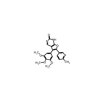 COc1cc(-c2c(-c3ccc(C)nc3)oc3[nH]c(=O)ncc23)cc(OC)c1OC